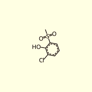 CS(=O)(=O)c1cccc(Cl)c1O